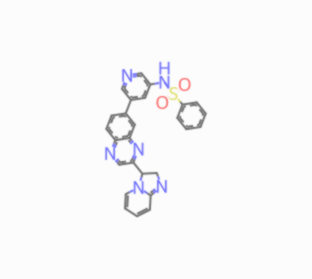 O=S(=O)(Nc1cncc(-c2ccc3ncc(C4CN=C5C=CC=CN54)nc3c2)c1)c1ccccc1